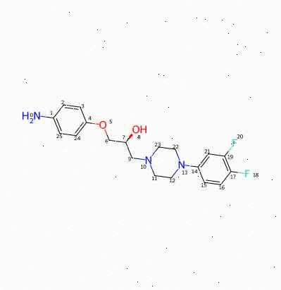 Nc1ccc(OC[C@@H](O)CN2CCN(c3ccc(F)c(F)c3)CC2)cc1